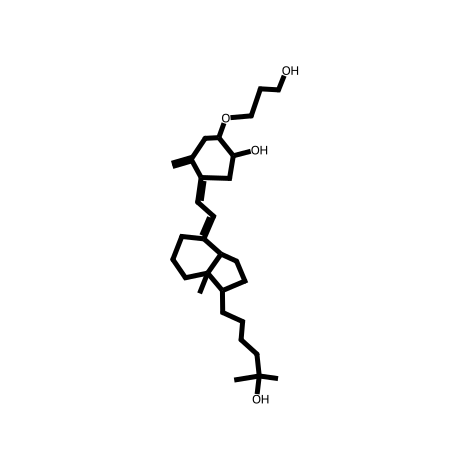 C=C1CC(OCCCO)C(O)C/C1=C\C=C1/CCCC2(C)C(CCCCC(C)(C)O)CCC12